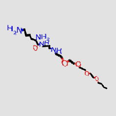 CCCCOCCOCCOCCOCCNCCCNC(=O)[C@@H](N)CCCCN